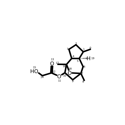 CC1CCC2[C@@H]1CC1(C)CC(OC(=O)CO)C2(C)O1